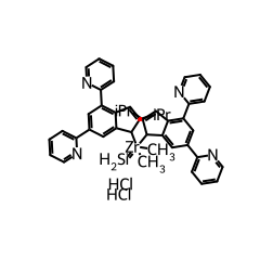 CC(C)C1=Cc2c(-c3ccccn3)cc(-c3ccccn3)cc2[CH]1[Zr]([CH3])([CH3])(=[SiH2])[CH]1C(C(C)C)=Cc2c(-c3ccccn3)cc(-c3ccccn3)cc21.Cl.Cl